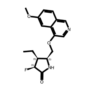 CC[C@@H]1[C@H](F)C(=O)N[C@@H]1COc1cncc2ccc(OC)cc12